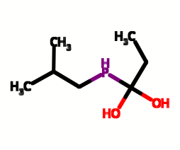 CCC(O)(O)PCC(C)C